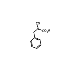 N#CN(Cc1ccccc1)C(=O)O